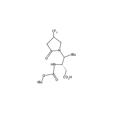 CC(C)(C)OC(=O)N[C@@H](CC(=O)O)C(N1CC(C(F)(F)F)CC1=O)C(C)(C)C